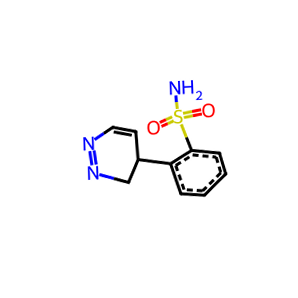 NS(=O)(=O)c1ccccc1C1C=CN=NC1